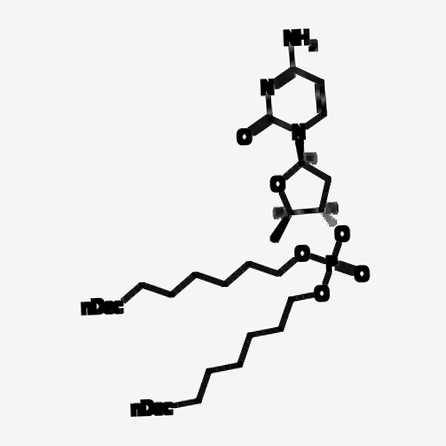 CCCCCCCCCCCCCCCCOP(=O)(OCCCCCCCCCCCCCCCC)O[C@H]1C[C@H](n2ccc(N)nc2=O)O[C@@H]1C